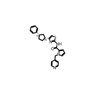 O=C(Nc1nc([C@@H]2CC[C@H](c3ccccc3)C2)cs1)c1cccn1Cc1ccncc1